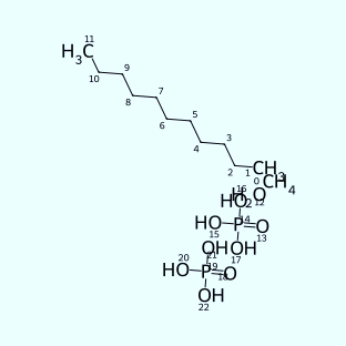 C.CCCCCCCCCCC.O.O=P(O)(O)O.O=P(O)(O)O